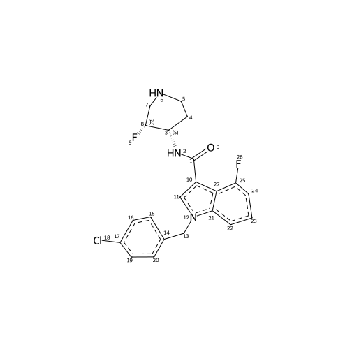 O=C(N[C@H]1CCNC[C@H]1F)c1cn(Cc2ccc(Cl)cc2)c2cccc(F)c12